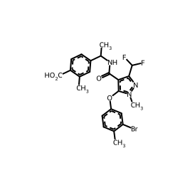 Cc1ccc(Oc2c(C(=O)NC(C)c3ccc(C(=O)O)c(C)c3)c(C(F)F)nn2C)cc1Br